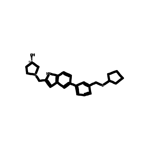 O[C@H]1CCN(Cc2cc3cc(-c4cccc(CSC5CCCC5)c4)ccc3[nH]2)C1